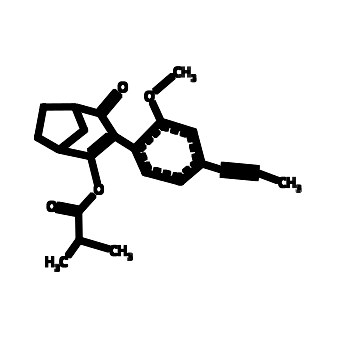 CC#Cc1ccc(C2=C(OC(=O)C(C)C)C3CCC(C3)C2=O)c(OC)c1